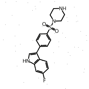 O=S(=O)(c1ccc(-c2c[nH]c3cc(F)ccc23)cc1)N1CCNCC1